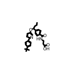 CCCC(Oc1ccc(-c2ccc(C(C)(C)C)cc2)nc1)c1ccc(C(=O)NCCC(=O)O)cc1